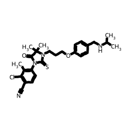 Cc1c(N2C(=O)C(C)(C)N(CCCOc3ccc(CNC(C)C)cc3)C2=S)ccc(C#N)c1Cl